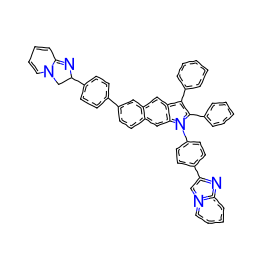 C1=CC2=NC(c3ccc(-c4ccc5cc6c(cc5c4)c(-c4ccccc4)c(-c4ccccc4)n6-c4ccc(-c5cn6ccccc6n5)cc4)cc3)CN2C=C1